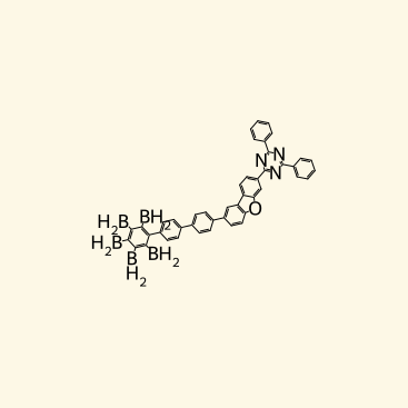 Bc1c(B)c(B)c(-c2ccc(-c3ccc(-c4ccc5oc6cc(-c7nc(-c8ccccc8)nc(-c8ccccc8)n7)ccc6c5c4)cc3)cc2)c(B)c1B